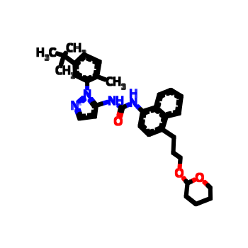 Cc1ccc(C(C)(C)C)cc1-n1nccc1NC(=O)Nc1ccc(CCCOC2CCCCO2)c2ccccc12